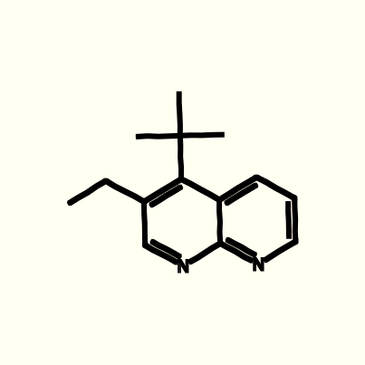 CCc1cnc2ncccc2c1C(C)(C)C